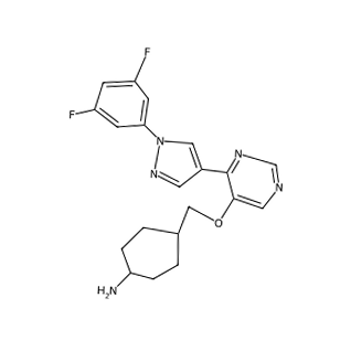 NC1CCC(COc2cncnc2-c2cnn(-c3cc(F)cc(F)c3)c2)CC1